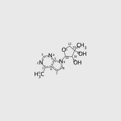 Cc1ncnc2c1ccn2C1OCC(C)(O)C1O